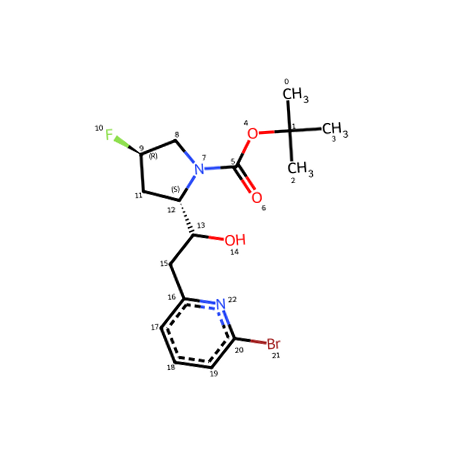 CC(C)(C)OC(=O)N1C[C@H](F)C[C@H]1C(O)Cc1cccc(Br)n1